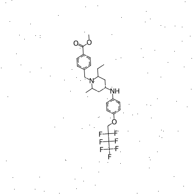 CCC1CC(Nc2ccc(OCC(F)(F)C(F)(F)C(F)(F)F)cc2)CC(C)N1Cc1ccc(C(=O)OC)cc1